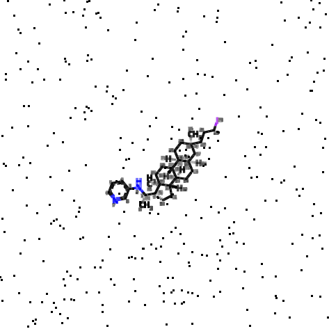 C[C@H](Nc1cccnc1)[C@H]1CC[C@H]2[C@@H]3CC[C@@H]4C[C@](C)(CCCI)CC[C@@H]4[C@H]3CC[C@]12C